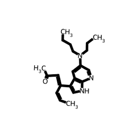 C/C=C\C(=C/C(C)=O)c1c[nH]c2ncc(N(CCC)CCCC)cc12